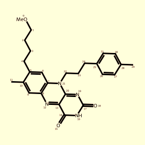 COCCCCc1cc2c(cc1C)nc1c(=O)[nH]c(=O)nc-1n2CCCc1ccc(C)cc1